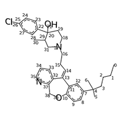 CCCCC(C)(C)c1ccc2c(c1)/C(=C/CCN1CCC(O)(c3ccc(Cl)cc3)C(C)C1)c1cccnc1CO2